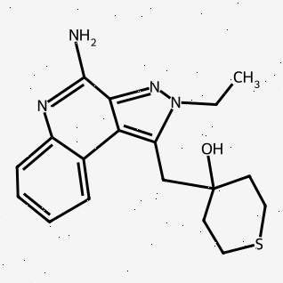 CCn1nc2c(N)nc3ccccc3c2c1CC1(O)CCSCC1